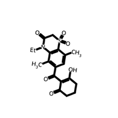 CCN1C(=O)CS(=O)(=O)c2c(C)cc(C(=O)C3=C(O)CCCC3=O)c(C)c21